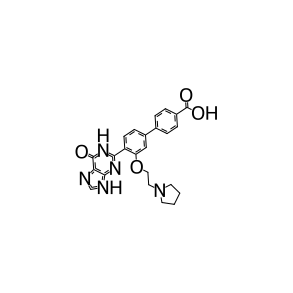 O=C(O)c1ccc(-c2ccc(-c3nc4[nH]cnc4c(=O)[nH]3)c(OCCN3CCCC3)c2)cc1